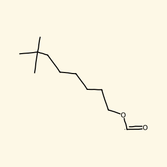 CC(C)(C)CCCCCCO[C]=O